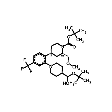 COC[C@@H]1C[C@@H](c2ccc(C(F)(F)F)cc2N2CCC(C(O)OC(C)(C)C)CC2)CCN1C(=O)OC(C)(C)C